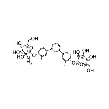 Cc1cc(-c2cccc(-c3ccc(O[C@H]4O[C@H](CO)[C@@H](O)[C@H](O)[C@]4(N)O)c(C)c3)c2)ccc1O[C@H]1O[C@H](CO)[C@@H](O)[C@H](O)[C@]1(C)O